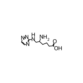 NC(CCCC(=O)O)CNc1nccnn1